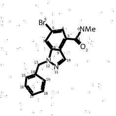 CNC(=O)c1cc(Br)cc2c1cnn2Cc1ccccc1